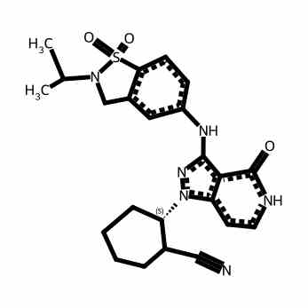 CC(C)N1Cc2cc(Nc3nn([C@H]4CCCCC4C#N)c4cc[nH]c(=O)c34)ccc2S1(=O)=O